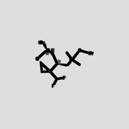 CC(C)O[Si](C)(C)C[C@@H](N[S@@+]([O-])C(C)(C)C)C1(C(F)F)CC1